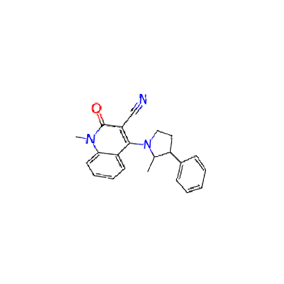 CC1C(c2ccccc2)CCN1c1c(C#N)c(=O)n(C)c2ccccc12